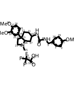 COc1ccc(CNC(=O)NC2CCC3(c4ccc(OC)c(OC)c4)CCN(C)C3C2)cc1.O=C(O)C(F)(F)F